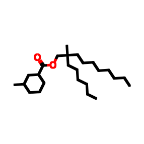 CCCCCCCCC(C)(CCCCCC)COC(=O)C1CCCC(C)C1